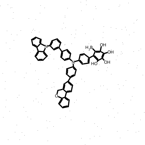 Bc1c(O)c(O)c(O)c(O)c1-c1ccc(N(c2ccc(-c3cccc(-n4c5ccccc5c5ccccc54)c3)cc2)c2ccc(-c3ccc4c(c3)COc3ccccc3-4)cc2)cc1